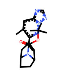 Cc1cc2ncnn2nc1C1=CC2CCC(C1)N2C(=O)OC(C)(C)C